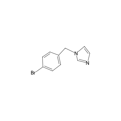 Brc1ccc(Cn2ccnc2)cc1